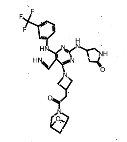 N=Cc1c(Nc2cccc(C(F)(F)F)c2)nc(NC2CNC(=O)C2)nc1N1CC(CC(=O)N2CC3CC(C2)O3)C1